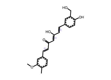 COc1cc(/C=C/C(=O)/C=C(O)/C=C/c2ccc(O)c(CO)c2)ccc1C